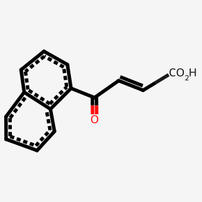 O=C(O)C=CC(=O)c1cccc2ccccc12